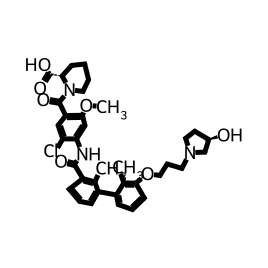 COc1cc(NC(=O)c2cccc(-c3cccc(OCCCN4CC[C@@H](O)C4)c3C)c2C)c(Cl)cc1C(=O)N1CCCC[C@H]1C(=O)O